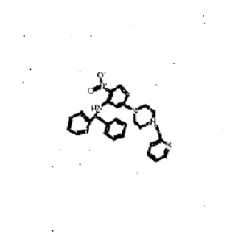 O=[N+]([O-])c1ccc(N2CCN(Cc3ccccn3)CC2)cc1NC(c1ccccc1)c1ccccc1